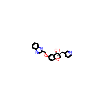 O[C@H]1c2cc(OCc3cnc4ccccc4n3)ccc2OC[C@@H]1Cc1cccnc1